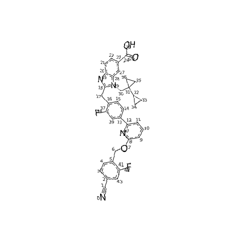 N#Cc1ccc(COc2cccc(-c3ccc(Cc4nc5ccc(C(=O)O)cc5n4CC4(C5CC5)CC4)c(F)c3)n2)c(F)c1